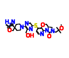 COC(C)(C)CN1CC2COc3c(Sc4cnc(N5CCC6(CC5)CO[C@@H](C)[C@H]6N)c(CO)n4)ccnc3N2C1=O